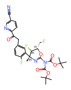 CC(C)(C)OC(=O)N(C(=O)OC(C)(C)C)C1=N[C@](C)(c2cc(CC(=O)c3ccc(C#N)cn3)ccc2F)[C@@H](F)[C@H](CF)O1